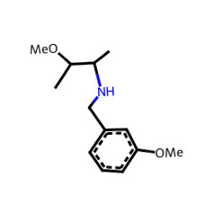 COc1cccc(CNC(C)C(C)OC)c1